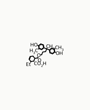 CCC1C=CCC(C(=O)OCCCC(C)(c2ccc(O)c(C)c2)c2ccc(O)c(C)c2)C1C(=O)O